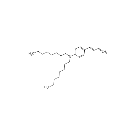 C=CC=Cc1ccc(N(CCCCCCCC)CCCCCCCC)cc1